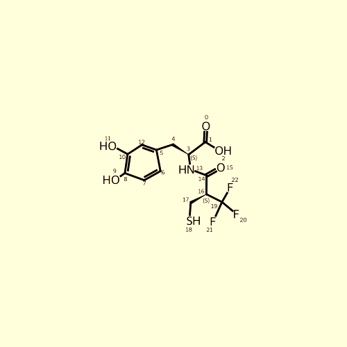 O=C(O)[C@H](Cc1ccc(O)c(O)c1)NC(=O)[C@H](CS)C(F)(F)F